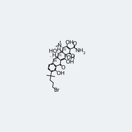 C[C@H]1c2ccc(C(C)(C)CCCBr)c(O)c2C(=O)C2=C(O)[C@]3(O)C(=O)C(C(N)=O)=C(O)[C@@H](N(C)C)[C@@H]3[C@@H](O)[C@@H]21